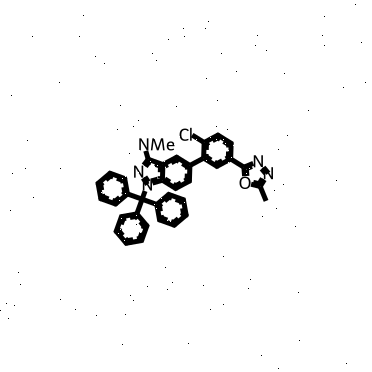 CNc1nn(C(c2ccccc2)(c2ccccc2)c2ccccc2)c2ccc(-c3cc(-c4nnc(C)o4)ccc3Cl)cc12